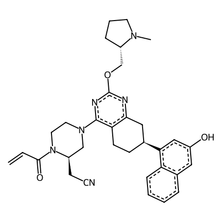 C=CC(=O)N1CCN(c2nc(OC[C@@H]3CCCN3C)nc3c2CC[C@H](c2cc(O)cc4ccccc24)C3)C[C@H]1CC#N